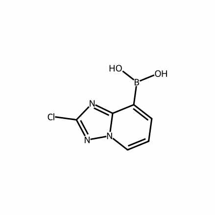 OB(O)c1cccn2nc(Cl)nc12